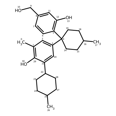 Cc1cc(C2(c3ccc(CO)cc3O)CCC(C)CC2)cc(C2CCC(C)CC2)c1O